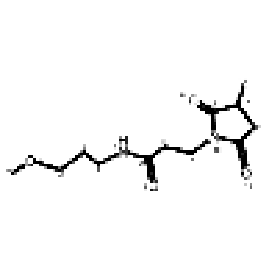 COCCCNC(=O)CCN1C(=O)CC(C)C1=O